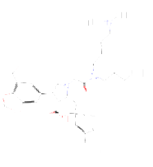 CCCCN(CCCCN(C)C)C(=O)CN1C[C@H](c2cc(CO)c3c(c2)OCO3)[C@@H](C(=O)O)[C@@H]1CC(C)(C)C=C(C)C